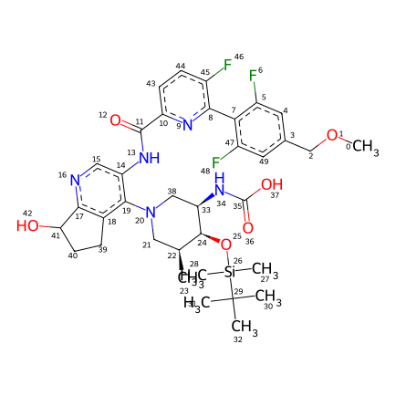 COCc1cc(F)c(-c2nc(C(=O)Nc3cnc4c(c3N3C[C@H](C)[C@H](O[Si](C)(C)C(C)(C)C)[C@H](NC(=O)O)C3)CCC4O)ccc2F)c(F)c1